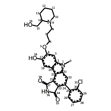 Cn1c2cc(OCCCN3CCCCC3CO)c(O)cc2c2c3c(c(-c4ccccc4Cl)cc21)C(=O)NC3=O